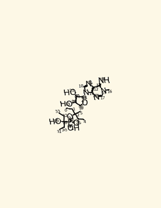 CCC(CC)(C[C@H]1O[C@@H](n2cnc3c(=N)n(C)cnc32)[C@H](O)[C@@H]1O)OP(=O)(O)C(O)(CC)CC